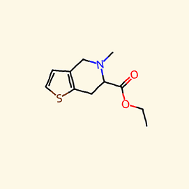 CCOC(=O)C1Cc2sccc2CN1C